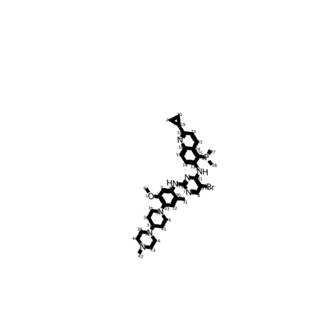 COc1cc(Nc2ncc(Br)c(Nc3ccc4nc(C5CC5)ccc4c3P(C)C)n2)c(C)cc1N1CCC(N2CCN(C)CC2)CC1